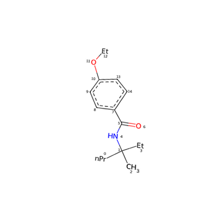 CCCC(C)(CC)NC(=O)c1ccc(OCC)cc1